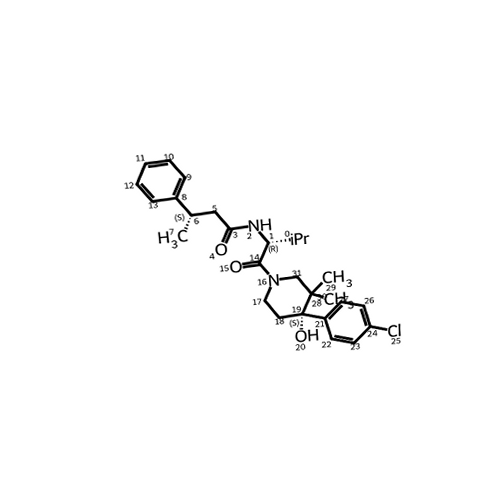 CC(C)[C@@H](NC(=O)C[C@H](C)c1ccccc1)C(=O)N1CC[C@](O)(c2ccc(Cl)cc2)C(C)(C)C1